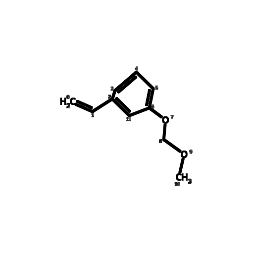 C=Cc1cccc(OCOC)c1